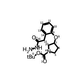 CC(C)(C)OC(=O)N1CCC(Oc2ccccc2CC(=O)NN)C1